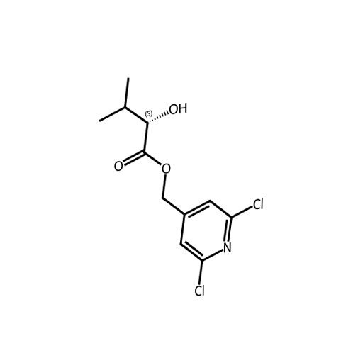 CC(C)[C@H](O)C(=O)OCc1cc(Cl)nc(Cl)c1